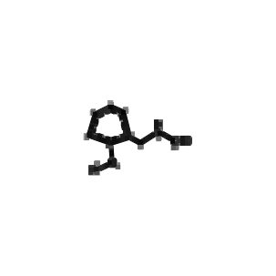 CCOc1ccccc1CNC=O